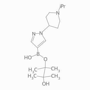 CC(C)N1CCC(n2cc(B(O)OC(C)(C)C(C)(C)O)cn2)CC1